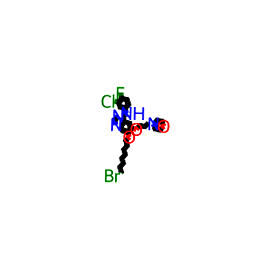 Fc1ccc(Nc2ncnc3cc(OCCCCCCCCBr)c(OCCCN4C=COC=C4)cc23)cc1Cl